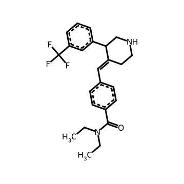 CCN(CC)C(=O)c1ccc(C=C2CCNCC2c2cccc(C(F)(F)F)c2)cc1